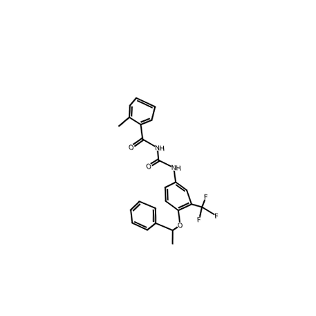 Cc1ccccc1C(=O)NC(=O)Nc1ccc(OC(C)c2ccccc2)c(C(F)(F)F)c1